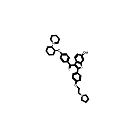 O=C(c1ccc(O[C@H]2CCCC[C@@H]2N2CCCCC2)cc1)c1c(-c2ccc(OCCN3CCCC3)cc2)sc2cc(O)ccc12